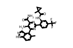 Cc1ccc2[nH]ncc2c1-c1nc(-c2ccc(C(F)(F)F)cc2NC(=O)C2(C)CC2)nc(C(N)=O)c1N